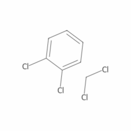 ClCCl.Clc1ccccc1Cl